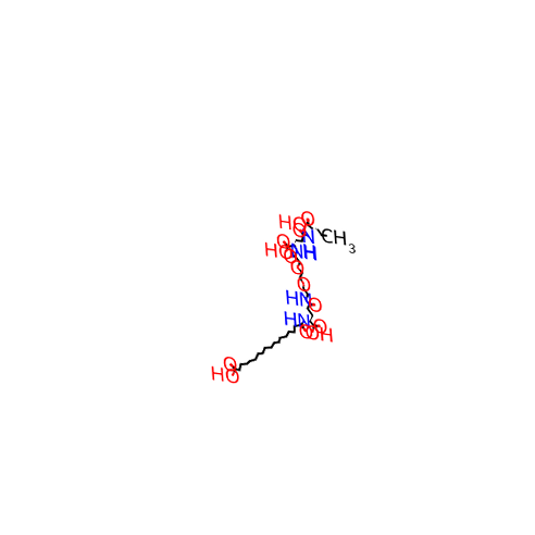 CCC[C@H](NC(=O)CC[C@H](NC(=O)COCCOCCNC(=O)CC[C@H](NC(=O)CCCCCCCCCCCCCCCCC(=O)O)C(=O)O)C(=O)O)C(=O)O